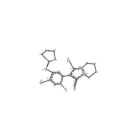 O=c1c(-c2cc(OC3CCCC3)c(Cl)cc2Cl)c(Cl)n2n1CCCC2